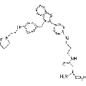 N[C@@H](CC(=O)NCCCOc1ccc(-c2sc3ccccc3c2Cc2ccc(OCCN3CCCC3)cc2)cc1)C(=O)O